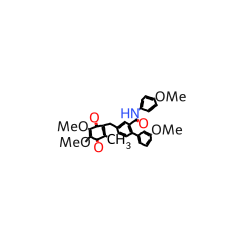 COC1=C(OC)C(=O)C(Cc2ccc(-c3cccc(OC)c3)c(C(=O)Nc3ccc(OC)cc3)c2)=C(C)C1=O